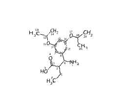 CCC(C(=O)O)C(N)c1cc(OC(C)C)cc(OC(C)C)c1